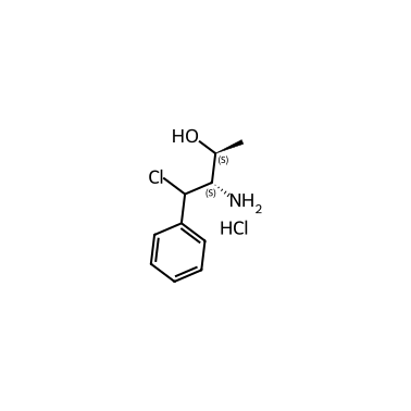 C[C@H](O)[C@H](N)C(Cl)c1ccccc1.Cl